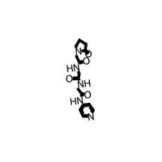 O=C(CNC(=O)CN1CCCC1=O)NCC(=O)Nc1ccncc1